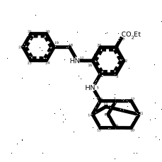 CCOC(=O)c1ccc(NC2C3CC4CC(C3)CC2C4)c(NCc2ccccc2)c1